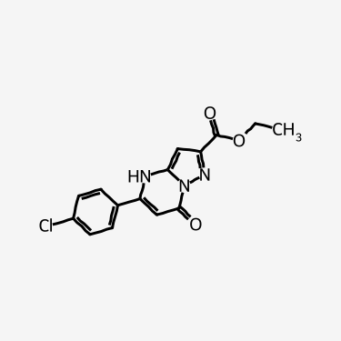 CCOC(=O)c1cc2[nH]c(-c3ccc(Cl)cc3)cc(=O)n2n1